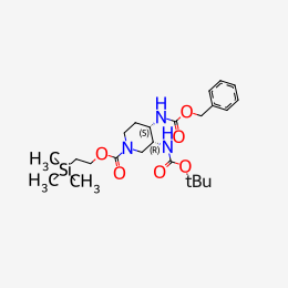 CC(C)(C)OC(=O)N[C@@H]1CN(C(=O)OCC[Si](C)(C)C)CC[C@@H]1NC(=O)OCc1ccccc1